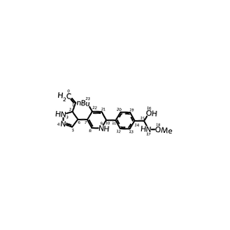 C=CC1NN=CC1C1=CNC(c2ccc(C(O)NOC)cc2)C=C1CCCC